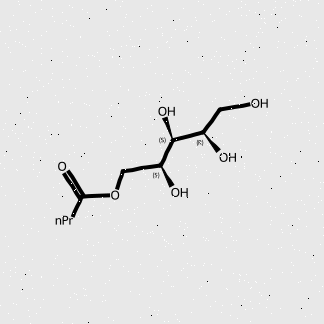 CCCC(=O)OC[C@H](O)[C@@H](O)[C@H](O)CO